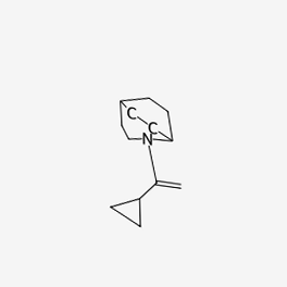 C=C(C1CC1)N1CCC2CCC1CC2